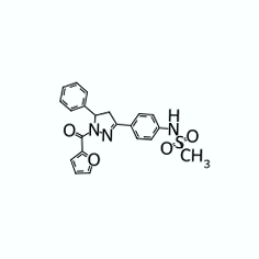 CS(=O)(=O)Nc1ccc(C2=NN(C(=O)c3ccco3)C(c3ccccc3)C2)cc1